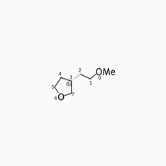 COCC[C@H]1CCOC1